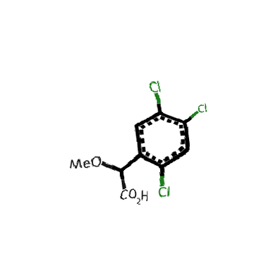 COC(C(=O)O)c1cc(Cl)c(Cl)cc1Cl